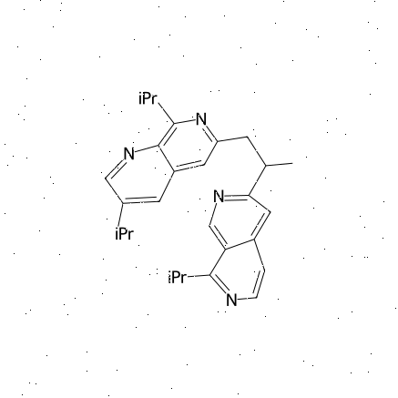 CC(C)c1cnc2c(C(C)C)nc(CC(C)c3cc4ccnc(C(C)C)c4cn3)cc2c1